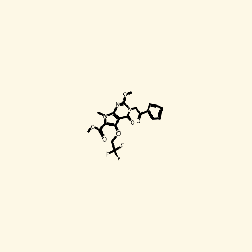 COC(=O)c1c(OCC(F)(F)F)c2c(=O)n(CC(=O)c3ccccc3)c(OC)nc2n1C